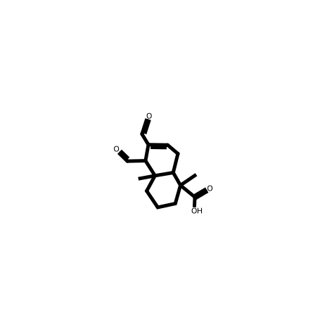 CC1(C(=O)O)CCCC2(C)C(C=O)C(C=O)=CCC12